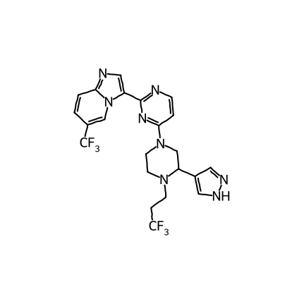 FC(F)(F)CCN1CCN(c2ccnc(-c3cnc4ccc(C(F)(F)F)cn34)n2)CC1c1cn[nH]c1